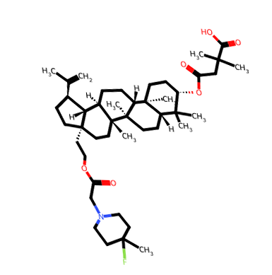 C=C(C)[C@@H]1CC[C@]2(CCOC(=O)CN3CCC(C)(F)CC3)CC[C@]3(C)[C@H](CC[C@@H]4[C@@]5(C)CC[C@H](OC(=O)CC(C)(C)C(=O)O)C(C)(C)[C@@H]5CC[C@]43C)[C@@H]12